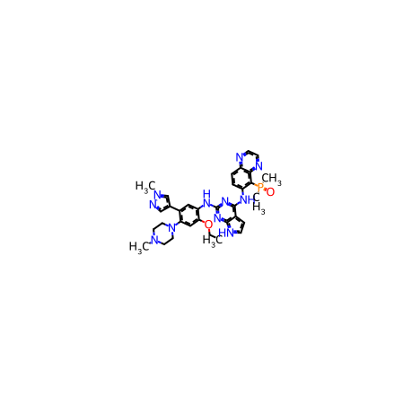 CCOc1cc(N2CCN(C)CC2)c(-c2cnn(C)c2)cc1Nc1nc(Nc2ccc3nccnc3c2P(C)(C)=O)c2cc[nH]c2n1